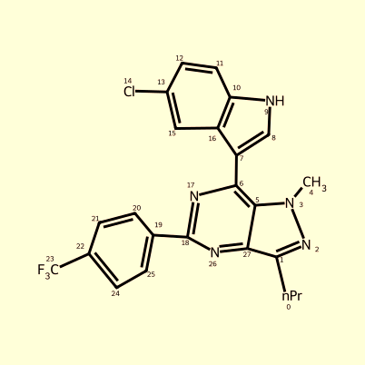 CCCc1nn(C)c2c(-c3c[nH]c4ccc(Cl)cc34)nc(-c3ccc(C(F)(F)F)cc3)nc12